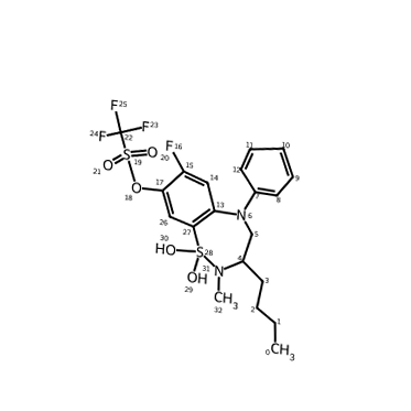 CCCCC1CN(c2ccccc2)c2cc(F)c(OS(=O)(=O)C(F)(F)F)cc2S(O)(O)N1C